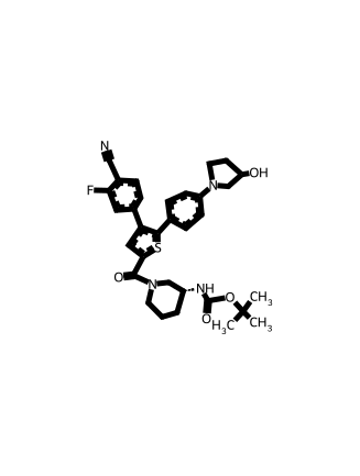 CC(C)(C)OC(=O)N[C@@H]1CCCN(C(=O)c2cc(-c3ccc(C#N)c(F)c3)c(-c3ccc(N4CCC(O)C4)cc3)s2)C1